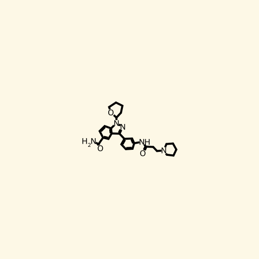 NC(=O)c1ccc2c(c1)c(-c1cccc(NC(=O)CCN3CCCCC3)c1)nn2C1CCCCO1